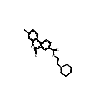 Cc1ccc2c(c1)oc(=O)c1cc(C(=O)NCCN3CCCCC3)ccc12